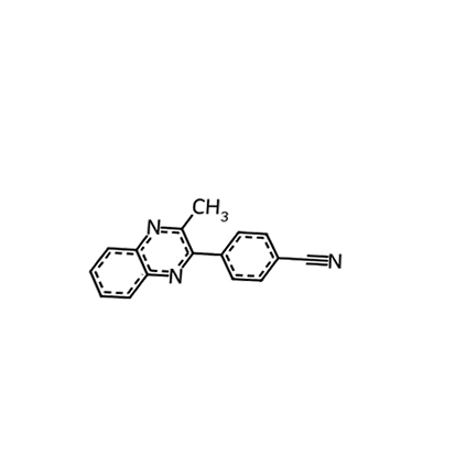 Cc1nc2ccccc2nc1-c1ccc(C#N)cc1